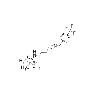 CC(C)(C)S(=O)(=O)NCCCCCNCc1ccc(C(F)(F)F)cc1